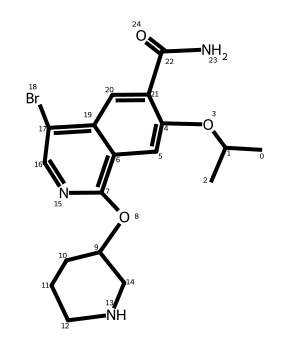 CC(C)Oc1cc2c(OC3CCCNC3)ncc(Br)c2cc1C(N)=O